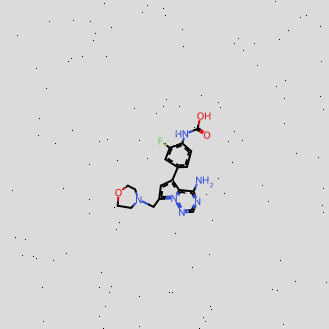 Nc1ncnn2c(CN3CCOCC3)cc(-c3ccc(NC(=O)O)c(F)c3)c12